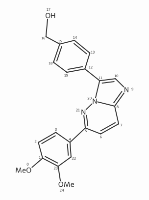 COc1ccc(-c2ccc3ncc(-c4ccc(CO)cc4)n3n2)cc1OC